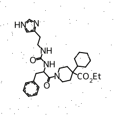 CCOC(=O)C1(C2CCCCC2)CCN(C(=O)C(Cc2ccccc2)NC(=O)NCCc2c[nH]cn2)CC1